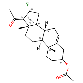 CC(=O)O[C@H]1CC[C@@]2(C)C(=CC[C@H]3[C@@H]4C[C@@H](Cl)[C@H](C(C)=O)[C@@]4(C)CC[C@@H]32)C1